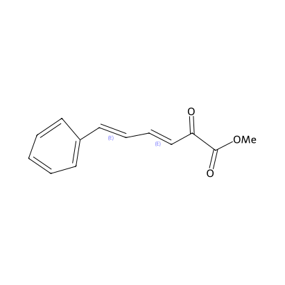 COC(=O)C(=O)/C=C/C=C/c1ccccc1